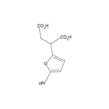 CCCc1ccc(C(CC(=O)O)C(=O)O)o1